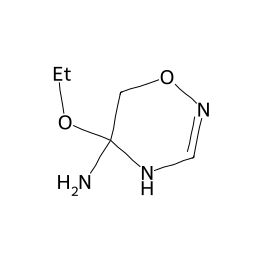 CCOC1(N)CON=CN1